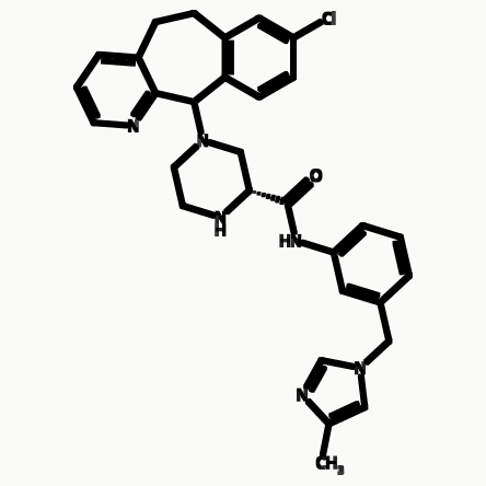 Cc1cn(Cc2cccc(NC(=O)[C@H]3CN(C4c5ccc(Cl)cc5CCc5cccnc54)CCN3)c2)cn1